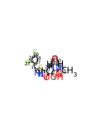 CCN1C(=O)c2c(O)c(=O)c(-c3nnc(Cc4ccc(F)cc4F)s3)cn2[C@@H]2COC[C@H]21